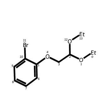 CCOC(COc1ccccc1Br)OCC